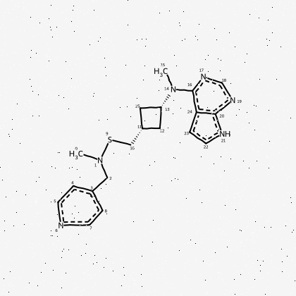 CN(Cc1ccncc1)SC[C@H]1C[C@@H](N(C)c2ncnc3[nH]ccc23)C1